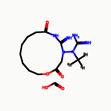 O=CO.[2H]C([2H])([2H])N(C(=N)N)N1CC(=O)OCCCCCCCC(=O)NC1=N